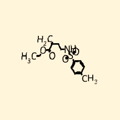 C=C(CCNS(=O)(=O)c1ccc(C)cc1)C(=O)OCC